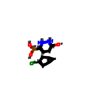 Clc1cc2cc-2c1.O=c1ccc(=S(=O)=O)[nH][nH]1